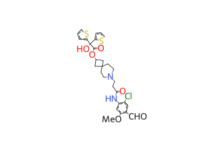 COc1cc(NC(=O)CCN2CCC3(CC2)CC(OC(=O)C(O)(c2cccs2)c2cccs2)C3)c(Cl)cc1C=O